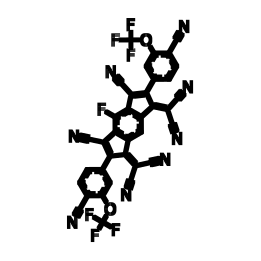 N#CC(C#N)=C1C(c2ccc(C#N)c(OC(F)(F)F)c2)=C(C#N)c2c1cc1c(c2F)C(C#N)=C(c2ccc(C#N)c(OC(F)(F)F)c2)C1=C(C#N)C#N